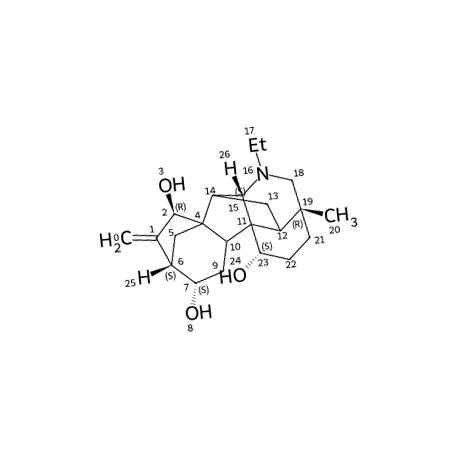 C=C1[C@@H](O)C23C[C@@H]1[C@@H](O)CC2C12C4CC3[C@@H]1N(CC)C[C@]4(C)CC[C@@H]2O